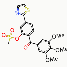 COc1cc(C(=O)c2ccc(-c3nccs3)cc2OS(C)(=O)=O)cc(OC)c1OC